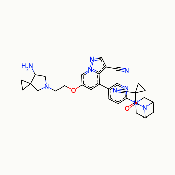 N#Cc1cnn2cc(OCCN3CC(N)C4(CC4)C3)cc(-c3ccc(N4CC5CC(C4)N5C(=O)C4(C#N)CC4)nc3)c12